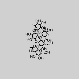 CC(=O)N[C@H]1[C@@H](O[C@H]2[C@@H](O)[C@@H](CO)O[C@@H](O[C@H]3[C@H](O[C@@H]4O[C@@H](C)[C@@H](O)[C@@H](O)[C@@H]4O)[C@@H](O)C(O)O[C@@H]3CO)[C@@H]2O[C@@H]2O[C@@H](C)[C@@H](O)[C@@H](O)[C@@H]2O)O[C@H](CO)[C@H](O)[C@@H]1O